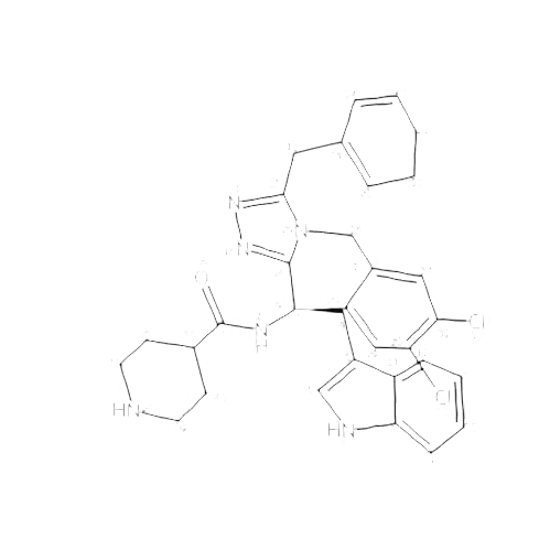 O=C(N[C@H](Cc1c[nH]c2ccccc12)c1nnc(CC2=CCCC=C2)n1Cc1ccc(Cl)c(Cl)c1)C1CCNCC1